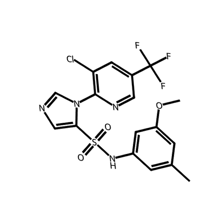 COc1cc(C)cc(NS(=O)(=O)c2cncn2-c2ncc(C(F)(F)F)cc2Cl)c1